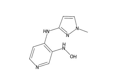 Cn1ccc(Nc2ccncc2NO)n1